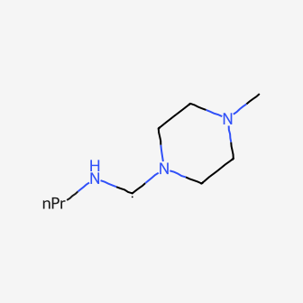 CCCN[CH]N1CCN(C)CC1